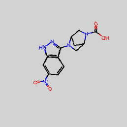 O=C(O)N1CC2CC1CN2c1n[nH]c2cc([N+](=O)[O-])ccc12